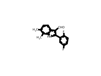 Cc1ccc2c(C=O)c(-c3cc(F)ccc3F)[nH]c2c1C